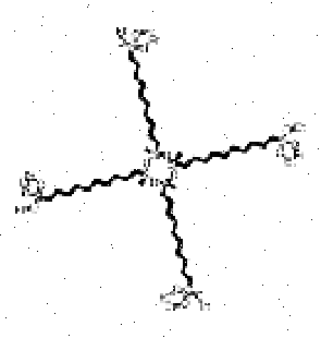 CCO[Si](CCCCCCCCCC[Si]1(C)O[Si](C)(CCCCCCCCCC[Si](OCC)(OCC)OCC)O[Si](C)(CCCCCCCCCC[Si](OCC)(OCC)OCC)O[Si](C)(CCCCCCCCCC[Si](OCC)(OCC)OCC)O1)(OCC)OCC